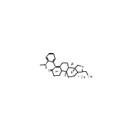 CN(C)c1ccccc1C1=C2CC[C@@H]3[C@H](CC[C@@]4(C)[C@H]3CC[C@@]4(O)CC#N)[C@H]2CCC1=O